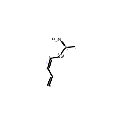 C=C/C=C\NB(C)N